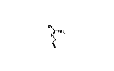 C=CS/N=C(\N)C(C)C